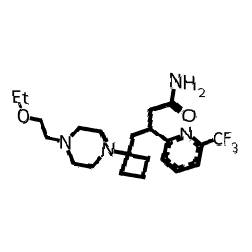 CCOCCN1CCN(C2(CC(CC(N)=O)c3cccc(C(F)(F)F)n3)CCC2)CC1